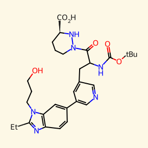 CCc1nc2ccc(-c3cncc(CC(NC(=O)OC(C)(C)C)C(=O)N4CCC[C@@H](C(=O)O)N4)c3)cc2n1CCCO